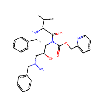 CC(C)C(N)C(=O)N(C(=O)OCc1ccccn1)[C@@H](Cc1ccccc1)[C@@H](O)CN(N)Cc1ccccc1